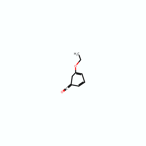 CCOC1=CC=CC(=C=O)C1